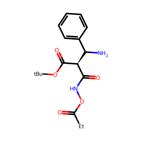 CCC(=O)ONC(=O)[C@@H](C(=O)OC(C)(C)C)C(N)c1ccccc1